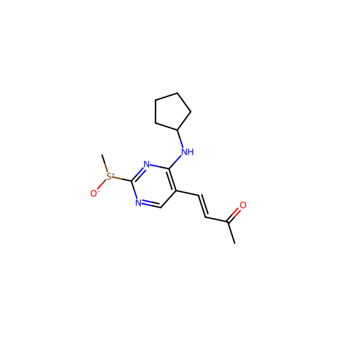 CC(=O)C=Cc1cnc([S+](C)[O-])nc1NC1CCCC1